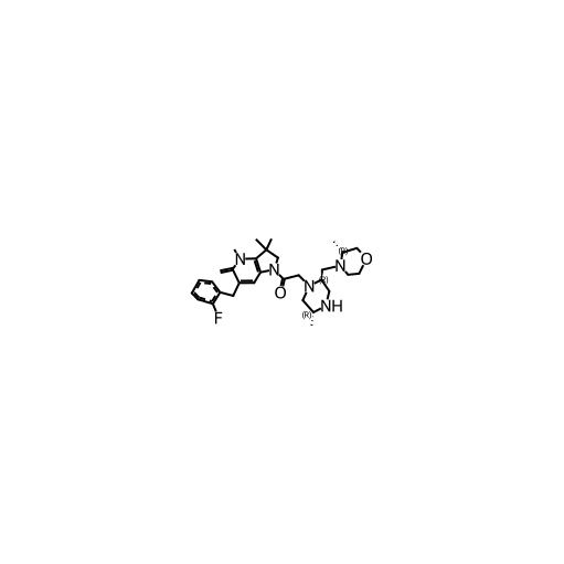 C=C1C(Cc2ccccc2F)=CC2=C(N1C)C(C)(C)CN2C(=O)CN1C[C@@H](C)NC[C@@H]1CN1CCOC[C@H]1C